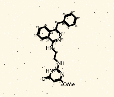 COc1cc(=O)[nH]c(NCCNc2nnc(Cc3ccccc3)c3ccccc23)n1